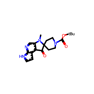 CN1c2cnc3[nH]ccc3c2C(=O)C12CCN(C(=O)OC(C)(C)C)CC2